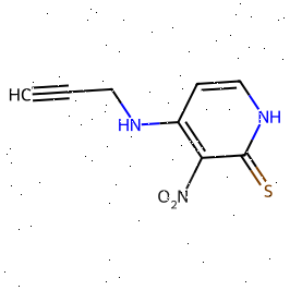 C#CCNc1cc[nH]c(=S)c1[N+](=O)[O-]